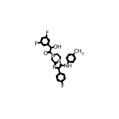 Cc1ccc(Nc2c(-c3ccc(F)cc3)nc3n2CCN(C(=O)C(O)c2cc(F)cc(F)c2)C3)cc1